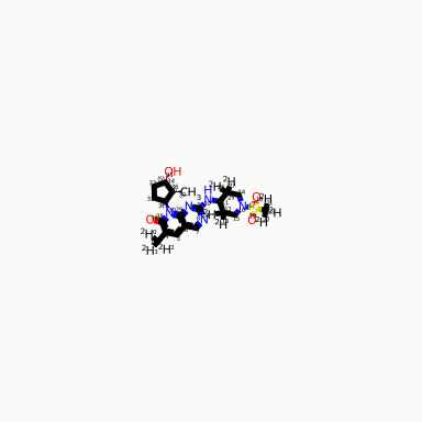 [2H]C([2H])([2H])c1cc2cnc(NC3C([2H])([2H])CN(S(=O)(=O)C([2H])([2H])[2H])CC3([2H])[2H])nc2n([C@H]2CC[C@H](O)[C@@H]2C)c1=O